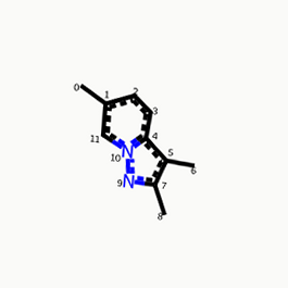 Cc1ccc2c(C)c(C)nn2c1